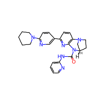 O=C(Nc1ccccn1)N1c2nc(-c3ccc(N4CCCCC4)nc3)ccc2N2CC[C@H]1C2